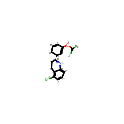 FC(F)OC1=CC([C@H]2CCc3c(Br)cccc3N2)CC=C1